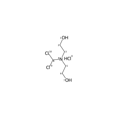 Cl.OCCN(CCO)C(Cl)Cl